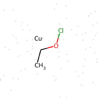 CCOCl.[Cu]